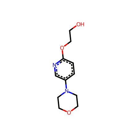 OCCOc1ccc(N2CCOCC2)cn1